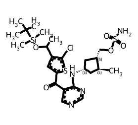 CC(O[Si](C)(C)C(C)(C)C)c1cc(C(=O)c2cncnc2N[C@@H]2C[C@H](COS(N)(=O)=O)[C@@H](C)C2)sc1Cl